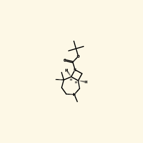 CN1CCC(C)(C)[C@@H]2[C@H](C1)CN2C(=O)OC(C)(C)C